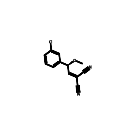 CO[C@@H](C=C(C#N)C#N)c1cccc(Cl)c1